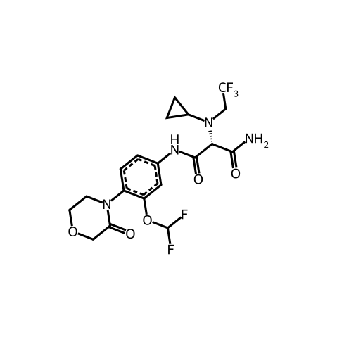 NC(=O)[C@H](C(=O)Nc1ccc(N2CCOCC2=O)c(OC(F)F)c1)N(CC(F)(F)F)C1CC1